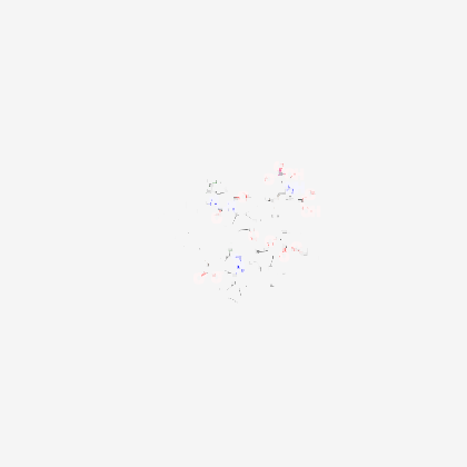 CCCCCCCCSC(=O)Oc1cc(Cl)nnc1-c1ccccc1.CCc1ccc(COc2ccc(-n3c(=O)cc(C(F)(F)F)n(C)c3=O)cc2)c(OC(C)C(=O)OC)c1.C[S+](C)C.O=C(O)CNCP(=O)([O-])O